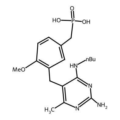 CCCCNc1nc(N)nc(C)c1Cc1cc(CP(=O)(O)O)ccc1OC